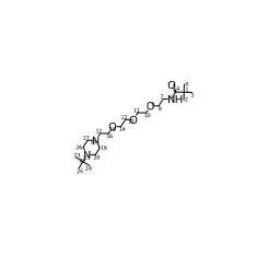 CC(C)(C)C(=O)NCCOCCOCCOCCN1CCN(C(C)(C)C)CC1